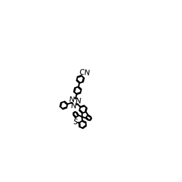 N#Cc1ccc(-c2ccc(-c3nc(-c4ccccc4)nc(-c4ccc5c(c4)C4(c6ccccc6Sc6ccccc64)c4ccccc4-5)n3)cc2)cc1